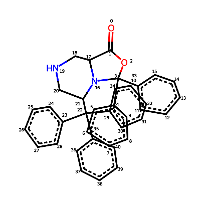 O=C1OC(c2ccccc2)(c2ccccc2)N2C1CNCC2C(c1ccccc1)(c1ccccc1)c1ccccc1